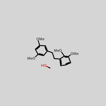 CO.COc1cc(CCc2cccc(OC)c2OC)cc(OC)c1